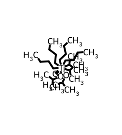 CCC[CH2][Ti](=[O])([CH2]CCC)([CH2]CCC)([CH2]CCC)([O]C(C)C)([O]C(C)C)([CH](C)C)[CH](C)C